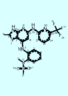 Cc1nc2c(Nc3ccccc3N(C)S(C)(=O)=O)cc(Nc3cccc(C(F)(F)F)n3)nc2[nH]1